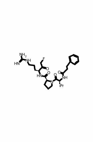 CC(C)[C@H](NC(=O)CCc1ccccc1)C(=O)N1CCC[C@H]1C(=O)N[C@@H](CCCNC(=N)N)C(=O)CF